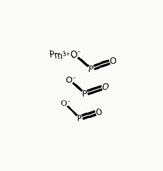 O=P[O-].O=P[O-].O=P[O-].[Pm+3]